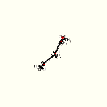 CC(=O)N(CCOCCOCCOCCNC(=O)CCC(N)(CCC=O)CCC(=O)NCCOCCOCCOCCN1Cc2ccc(C3CN(C)Cc4c(Cl)cc(Cl)cc43)cc2C1=O)Cc1ccc(C2CN(C)Cc3c(Cl)cc(Cl)cc32)cc1